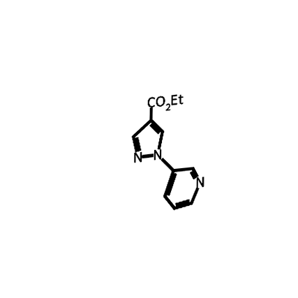 CCOC(=O)c1cnn(-c2cccnc2)c1